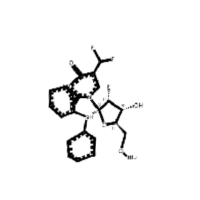 CC(C)(C)OC[C@H]1O[C@](n2cc(C(F)F)c(=O)[nH]c2=O)([SiH](c2ccccc2)c2ccccc2)[C@H](F)[C@@H]1O